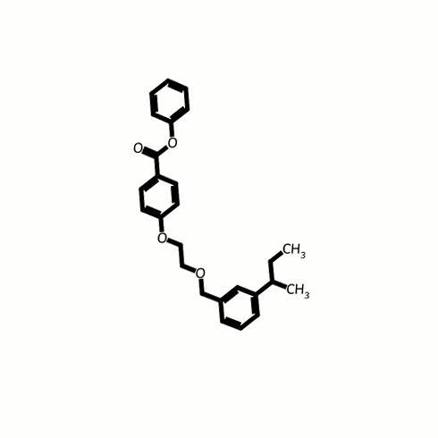 CCC(C)c1cccc(COCCOc2ccc(C(=O)Oc3ccccc3)cc2)c1